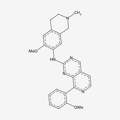 COc1cc2c(cc1Nc1ncc3ccnc(-c4ccccc4OC)c3n1)CN(C)CC2